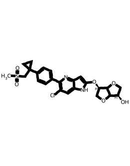 CS(=O)(=O)CC1(c2ccc(-c3nc4cc(O[C@@H]5COC6C5OC[C@H]6O)[nH]c4cc3Cl)cc2)CC1